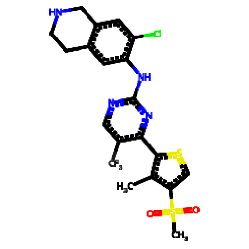 Cc1c(S(C)(=O)=O)csc1-c1nc(Nc2cc3c(cc2Cl)CNCC3)ncc1C(F)(F)F